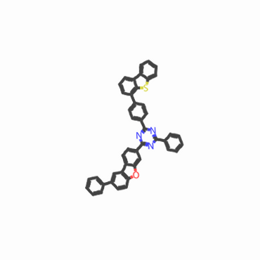 c1ccc(-c2ccc3oc4cc(-c5nc(-c6ccccc6)nc(-c6ccc(-c7cccc8c7sc7ccccc78)cc6)n5)ccc4c3c2)cc1